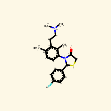 Cc1c(N2C(=O)CSC2c2ccc(F)cc2)ccc(C(=O)O)c1CCN(C)C